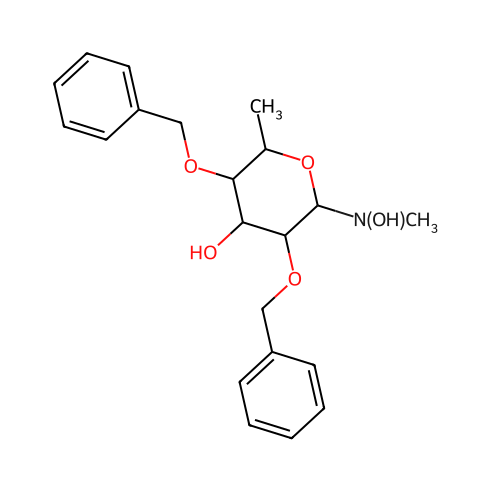 CC1OC(N(C)O)C(OCc2ccccc2)C(O)C1OCc1ccccc1